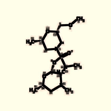 COC[C@@H]1CN(P(=O)(O[C@@H]2CN(C)C[C@H](C)O2)N(C)C)C[C@H](C)O1